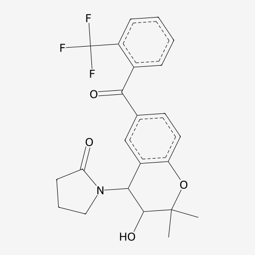 CC1(C)Oc2ccc(C(=O)c3ccccc3C(F)(F)F)cc2C(N2CCCC2=O)C1O